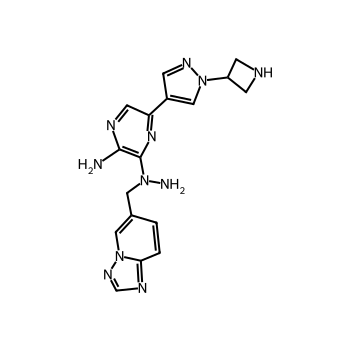 Nc1ncc(-c2cnn(C3CNC3)c2)nc1N(N)Cc1ccc2ncnn2c1